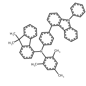 Cc1cc(C)c(N(c2ccc(-c3cccc4c3c3ccccc3n4-c3ccccc3)cc2)c2cccc3c2-c2ccccc2C3(C)C)c(C)c1